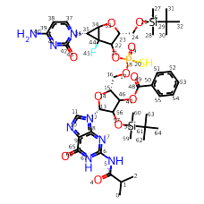 CC(C)C(=O)Nc1nc2c(ncn2[C@@H]2O[C@H](COP(=O)(S)OC3[C@@H](CO[Si](C)(C)C(C)(C)C)OC4[C@@H](n5ccc(N)nc5=O)C34F)C(OC(=O)c3ccccc3)C2O[Si](C)(C)C(C)(C)C)c(=O)[nH]1